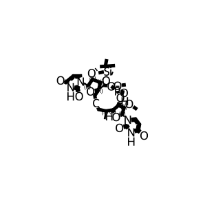 CO[C@@H]1[C@@H]2OP(=O)(OC)OC[C@@]3(CCC[C@H](C)[C@H]2O[C@H]1n1ccc(=O)[nH]c1=O)O[C@@H](n1ccc(=O)[nH]c1=O)[C@H](OC)[C@@H]3O[Si](C)(C)C(C)(C)C